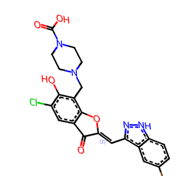 O=C1/C(=C/c2n[nH]c3ccc(Br)cc23)Oc2c1cc(Cl)c(O)c2CN1CCN(C(=O)O)CC1